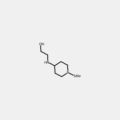 CSN1CCC(NCCO)CC1